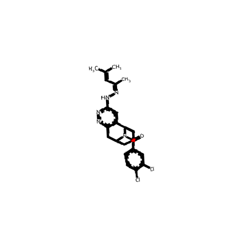 CC(C)=CC(C)=NNc1cc2c(nn1)CC1CCCC2N1C(=O)c1ccc(Cl)c(Cl)c1